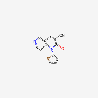 N#Cc1cc2cnccc2n(-c2cccs2)c1=O